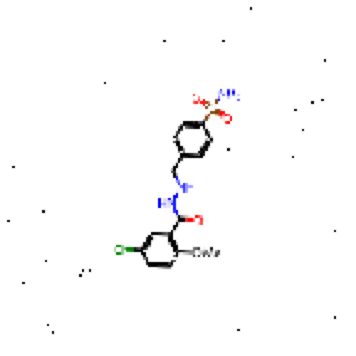 COc1ccc(Cl)cc1C(=O)NNCc1ccc(S(N)(=O)=O)cc1